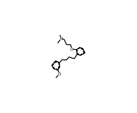 COc1cccc(CCCCc2ccccc2OCCCN(C)C)c1